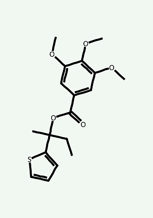 CCC(C)(OC(=O)c1cc(OC)c(OC)c(OC)c1)c1cccs1